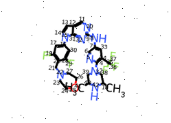 CC1CN(c2ncc(Nc3ncc4ccn(-c5cc(F)c(CN6CCOCC6)c(F)c5)c4n3)cc2C(F)(F)F)CC(C)N1